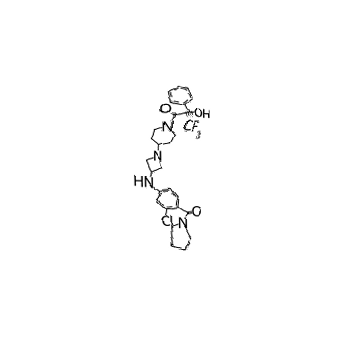 O=C(c1ccc(NC2CN(C3CCN(C(=O)[C@](O)(c4ccccc4)C(F)(F)F)CC3)C2)cc1Cl)N1CCCC1